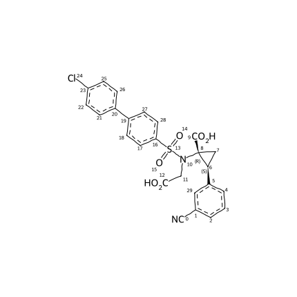 N#Cc1cccc([C@@H]2C[C@@]2(C(=O)O)N(CC(=O)O)S(=O)(=O)c2ccc(-c3ccc(Cl)cc3)cc2)c1